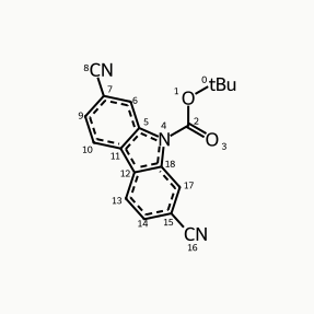 CC(C)(C)OC(=O)n1c2cc(C#N)ccc2c2ccc(C#N)cc21